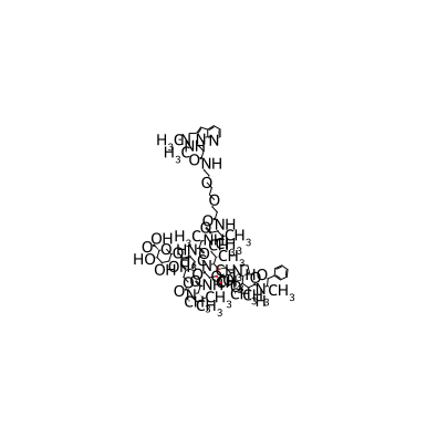 CC[C@H](C)[C@@H]([C@@H](CC(=O)N1CCC[C@H]1[C@H](OC)[C@@H](C)C(=O)N[C@H](C)[C@@H](O)c1ccccc1)OC)N(C)C(=O)[C@@H](NC(=O)[C@H](C(C)C)N(C)C(=O)OCc1ccc(NC(=O)[C@H](C)NC(=O)[C@@H](NC(=O)CCOCCOCCNC(=O)CCn2c(CN(C)NC)cc3cccnc32)C(C)C)c(O[C@@H]2O[C@H](C(=O)O)[C@@H](O)[C@H](O)[C@H]2O)c1)C(C)C